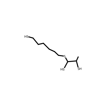 CC(S)C(S)SCCCCCCS